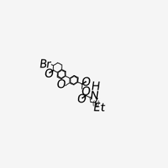 CC[C@@H]1CNC(C(=O)OCC(=O)c2ccc3c(c2)COc2cc4c(cc2-3)CCC(Br)C4=O)C1